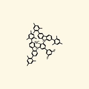 Cc1cc(C)c(-c2ccc3c(c2)c2ccc(-c4c(C)cc(C)cc4C)cc2n3-c2cc(-c3cc(F)cc(F)c3)cc(-n3c4ccc(-c5c(C)cc(C)cc5C)cc4c4ccc(-c5c(C)cc(C)cc5C)cc43)c2C#N)c(C)c1